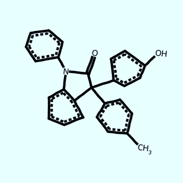 Cc1ccc(C2(c3ccc(O)cc3)C(=O)N(c3ccccc3)c3ccccc32)cc1